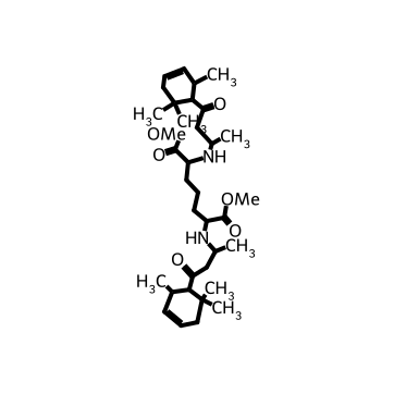 COC(=O)C(CCCC(NC(C)CC(=O)C1C(C)C=CCC1(C)C)C(=O)OC)NC(C)CC(=O)C1C(C)C=CCC1(C)C